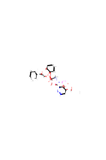 COc1ccnc(C(=O)NC(C)C(=O)OCC(Oc2ccccc2)c2ccccc2)c1O